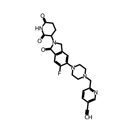 C#Cc1ccc(CN2CCN(c3cc4c(cc3F)C(=O)N(C3CCC(=O)NC3=O)C4)CC2)nc1